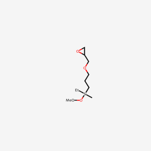 CC[Si](C)(CCCOCC1CO1)OOC